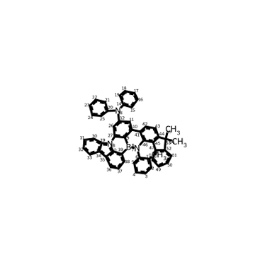 Cc1ccccc1N1B2c3c(cc(N(c4ccccc4)c4ccccc4)cc3-n3c4ccccc4c4cccc2c43)-c2ccc3c(c21)-c1ccccc1C3(C)C